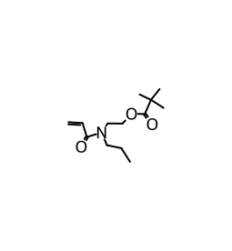 C=CC(=O)N(CCC)CCOC(=O)C(C)(C)C